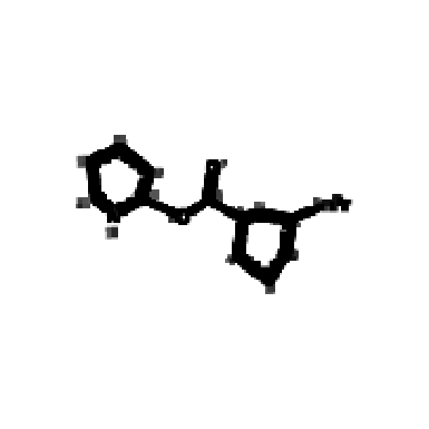 CCCc1cccc(C(=O)Oc2ccccn2)c1